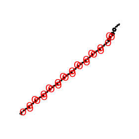 C=C(C)COCCCCCC(=O)OCCCCCC(=O)OCCCCCC(=O)OCCCCCC(=O)OCCCCCC(=O)OCCCCCC(=O)OCCCCCC(=O)OCCCCCC(=O)OCCCCCC(=O)OCCCCCC(=O)OCCCCCC(=O)OCCCCCCOc1ccc(C(=O)Oc2ccc([C@H]3CC[C@H](CCCCC)CC3)cc2)cc1